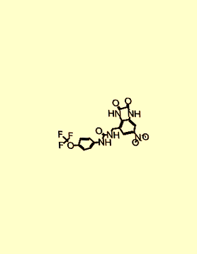 O=C(NCc1cc([N+](=O)[O-])cc2[nH]c(=O)c(=O)[nH]c12)Nc1ccc(OC(F)(F)F)cc1